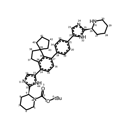 CC(C)(C)OC(=O)N1CCCC[C@H]1c1ncc(-c2ccc(-c3ccc(-c4cnc([C@@H]5CCCCN5)[nH]4)cc3)c3c2CCC32CCCC2)[nH]1